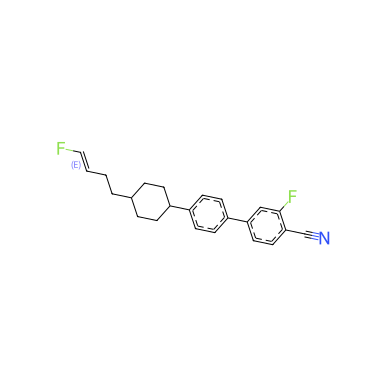 N#Cc1ccc(-c2ccc(C3CCC(CC/C=C/F)CC3)cc2)cc1F